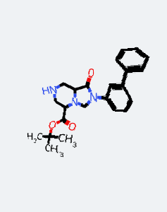 CC(C)(C)OC(=O)C1CNCC2C(=O)N(c3cccc(-c4ccccc4)c3)CN12